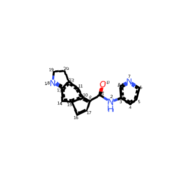 O=C(Nc1cccnc1)C1=c2cc3c(cc2C=C1)=NCC3